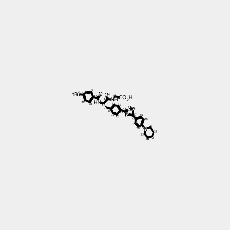 CC(C)(C)c1ccc(C(=O)N[C@@H](Cc2ccc(-c3noc(-c4ccc(N5CCCCC5)cc4)n3)cc2)C(=O)NCC(=O)O)cc1